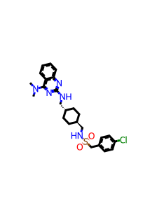 CN(C)c1nc(NC[C@H]2CC[C@H](CNS(=O)(=O)Cc3ccc(Cl)cc3)CC2)nc2ccccc12